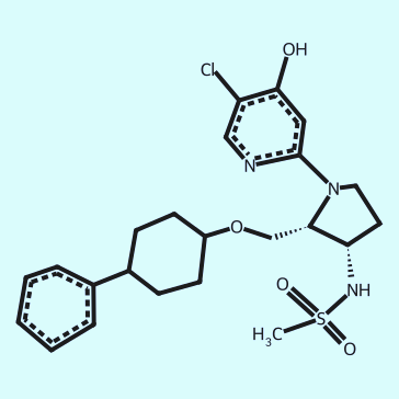 CS(=O)(=O)N[C@H]1CCN(c2cc(O)c(Cl)cn2)[C@H]1COC1CCC(c2ccccc2)CC1